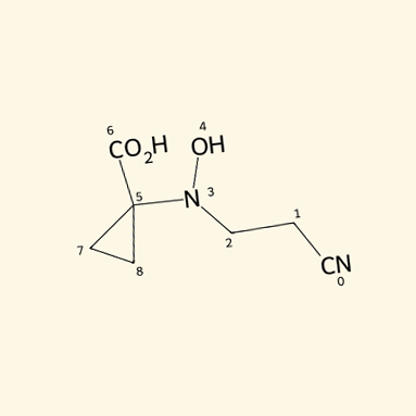 N#CCCN(O)C1(C(=O)O)CC1